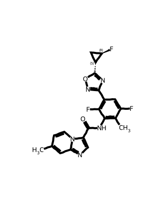 Cc1ccn2c(C(=O)Nc3c(C)c(F)cc(-c4noc([C@@H]5C[C@H]5F)n4)c3F)cnc2c1